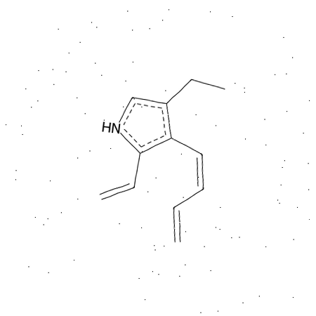 C=C/C=C\c1c(CC)c[nH]c1C=C